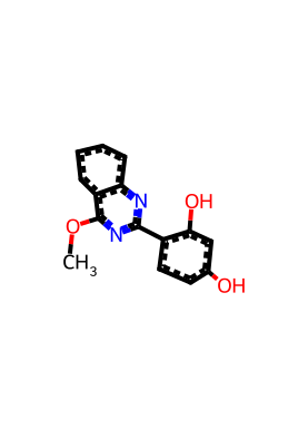 COc1nc(-c2ccc(O)cc2O)nc2ccccc12